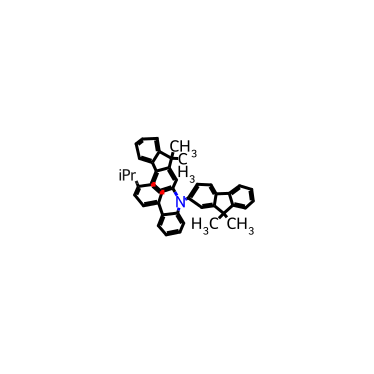 CC(C)c1ccc(-c2ccccc2N(c2ccc3c(c2)C(C)(C)c2ccccc2-3)c2ccc3c(c2)C(C)(C)c2ccccc2-3)cc1